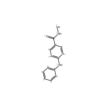 O=C(NO)c1cnc(Nc2ccccc2)nc1